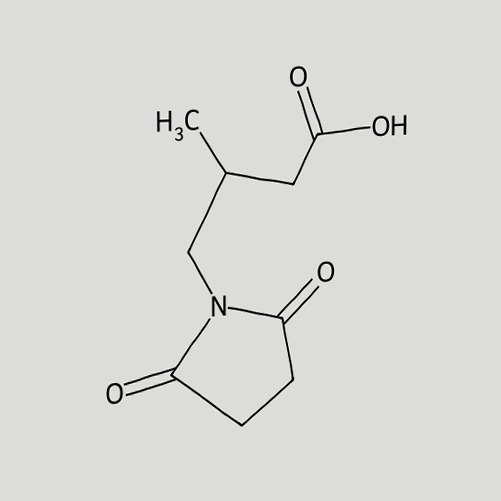 CC(CC(=O)O)CN1C(=O)CCC1=O